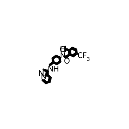 O=C(NC1CCC(CNc2cnn3ccccc23)CC1)c1cc(C(F)(F)F)ccc1Cl